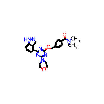 CN(C)C(=O)c1ccc(COc2nc(-c3cccc4[nH]ncc34)nc(N3CCOCC3)n2)cc1